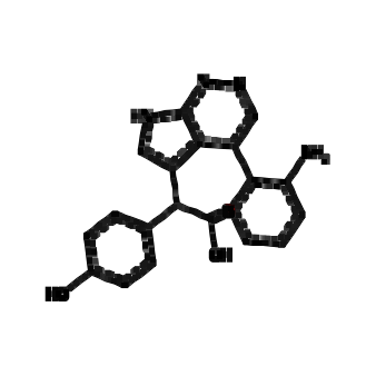 Nc1ccccc1-c1cnnc2[nH]cc(C(C(=O)O)c3ccc(O)cc3)c12